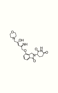 N=C(/C=C(\O)CN1CCOCC1)COc1cccc2c1CN(C1CCC(=O)NC1=O)C2=O